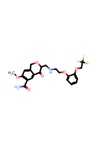 COc1cc2c(cc1C(N)=O)C(=O)C(CNCCOc1ccccc1OCC(F)(F)F)OC2